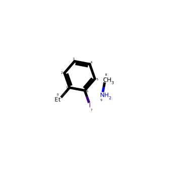 CCc1ccccc1I.CN